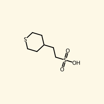 O=S(=O)(O)CCC1CCSCC1